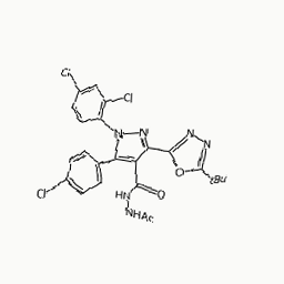 CC(=O)NNC(=O)c1c(-c2nnc(C(C)(C)C)o2)nn(-c2ccc(Cl)cc2Cl)c1-c1ccc(Cl)cc1